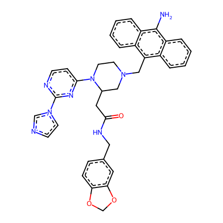 Nc1c2ccccc2c(CN2CCN(c3ccnc(-n4ccnc4)n3)C(CC(=O)NCc3ccc4c(c3)OCO4)C2)c2ccccc12